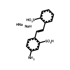 Nc1ccc(/C=C/c2ccccc2S(=O)(=O)O)c(S(=O)(=O)O)c1.[NaH].[NaH]